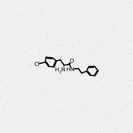 N[C@H](Cc1ccc(Cl)cc1)C(=O)NCCc1ccccc1